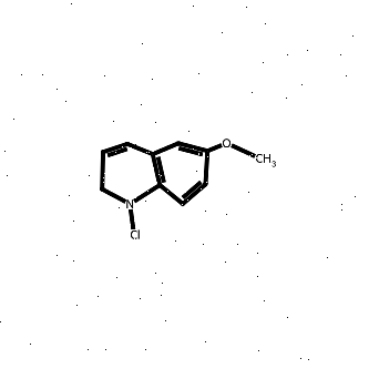 COc1ccc2c(c1)C=CCN2Cl